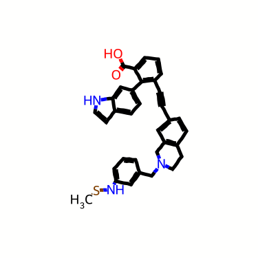 CSNc1cccc(CN2CCc3ccc(C#Cc4cccc(C(=O)O)c4-c4ccc5cc[nH]c5c4)cc3C2)c1